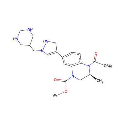 COC(=O)N1c2ccc(C3=CN(CC4CNCNC4)NC3)cc2N(C(=O)OC(C)C)C[C@@H]1C